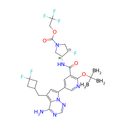 BC(B)(B)Oc1ncc(-c2cc(CC3CC(F)(F)C3)c3c(N)ncnn23)cc1C(=O)N[C@@H]1CN(C(=O)OCC(F)(F)F)C[C@@H]1F